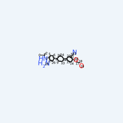 CC(C)Nc1ccc(-c2ccc(-c3ccc(OCC=O)c(C#N)c3)cc2)cc1N